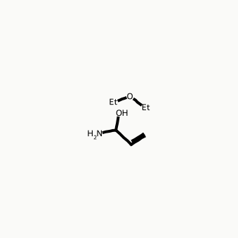 C=CC(N)O.CCOCC